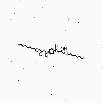 CCCCCCCCOCC(O)CNc1ccc(NCC(O)COCCCCCCCC)cc1